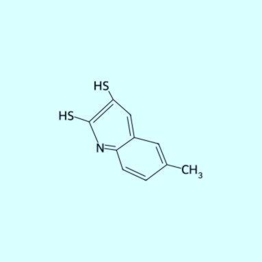 Cc1ccc2nc(S)c(S)cc2c1